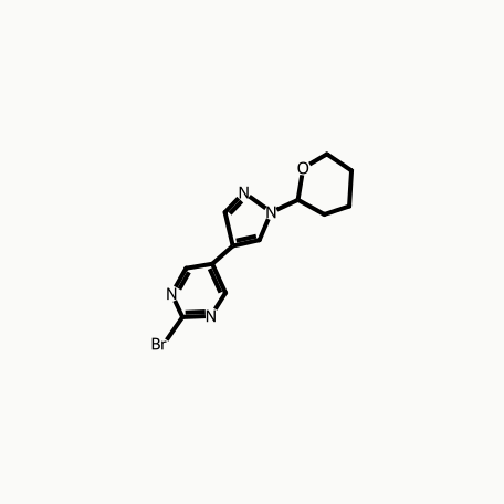 Brc1ncc(-c2cnn(C3CCCCO3)c2)cn1